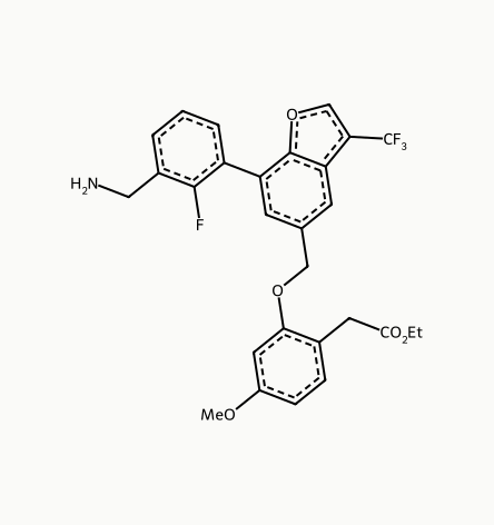 CCOC(=O)Cc1ccc(OC)cc1OCc1cc(-c2cccc(CN)c2F)c2occ(C(F)(F)F)c2c1